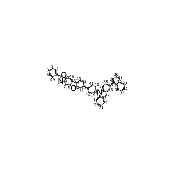 c1ccc(-c2nc3cc4oc5cc(-c6ccc(N(c7ccccc7)c7ccc(-c8cccc9ccccc89)cc7)cc6)ccc5c4cc3o2)cc1